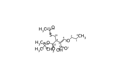 CCCOC=C(C(=O)O)C(CSC(C)=O)C(=O)OC(C)(C)C